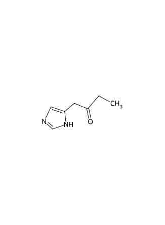 CCC(=O)Cc1cnc[nH]1